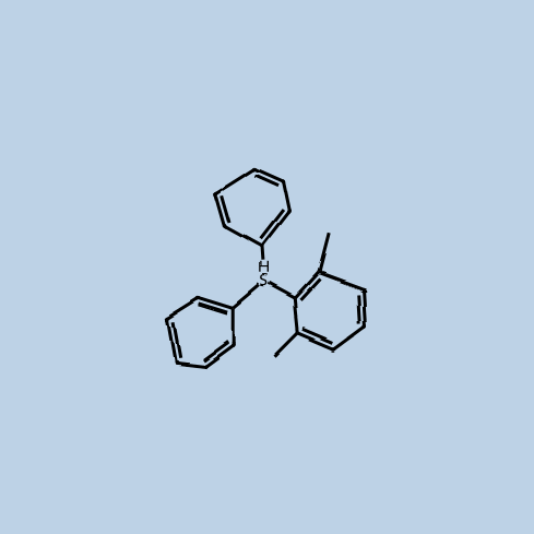 Cc1cccc(C)c1[SH](c1ccccc1)c1ccccc1